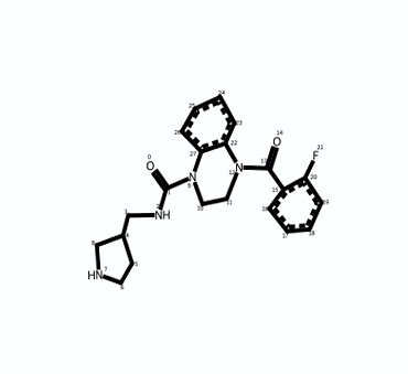 O=C(NCC1CCNC1)N1CCN(C(=O)c2ccccc2F)c2ccccc21